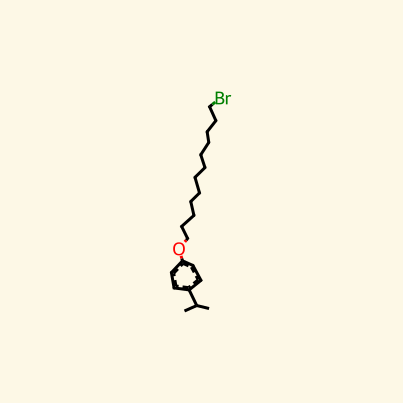 CC(C)c1ccc(OCCCCCCCCCCCCBr)cc1